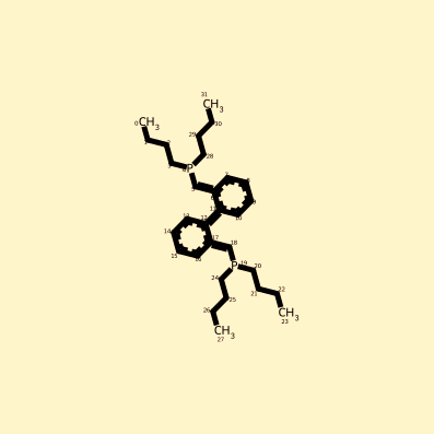 CCCCP(C=c1ccccc1=c1ccccc1=CP(CCCC)CCCC)CCCC